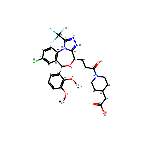 COc1cccc([C@H]2O[C@H](CCC(=O)N3CCC(CC(=O)O)CC3)c3nnc(C(F)(F)F)n3-c3ccc(Cl)cc32)c1OC